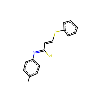 Cc1ccc(N=C(S)C=CSc2ccccc2)cc1